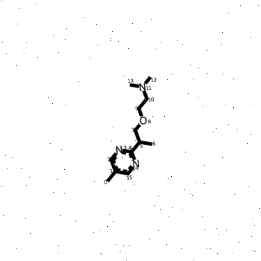 Cc1cnc(C(C)COCCN(C)C)nc1